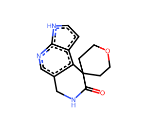 O=C1NCc2cnc3[nH]ccc3c2C12CCOCC2